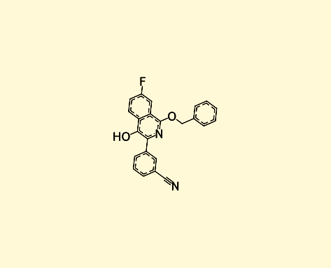 N#Cc1cccc(-c2nc(OCc3ccccc3)c3cc(F)ccc3c2O)c1